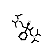 CC(C)N(CCC(C#N)(c1ccccc1)C(C)CN(C(C)C)C(C)C)C(C)C